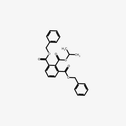 CC(C)OC(=O)c1c(C(=O)OCc2ccccc2)cccc1C(=O)OCc1ccccc1